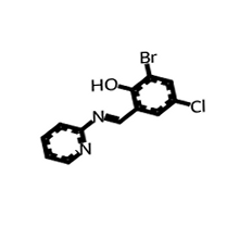 Oc1c(Br)cc(Cl)cc1/C=N/c1ccccn1